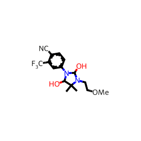 COCCN1C(O)N(c2ccc(C#N)c(C(F)(F)F)c2)C(O)C1(C)C